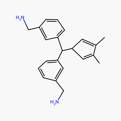 CC1=C[C](C(c2cccc(CN)c2)c2cccc(CN)c2)C=C1C